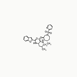 CC(C)CC(NC(=O)c1cc2ccccc2o1)C(=O)N[C@@H]1C(=O)CN(S(=O)(=O)c2ccccn2)CC[C@@H]1C